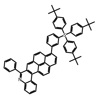 CC(C)(C)c1ccc(S(c2ccc(C(C)(C)C)cc2)(c2ccc(C(C)(C)C)cc2)c2cccc(-c3ccc4ccc5c6c(cc7ccc3c4c75)c(-c3ccccc3)nc3ccccc36)c2)cc1